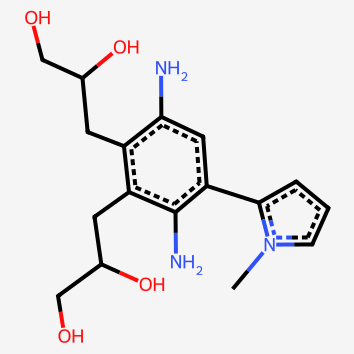 Cn1cccc1-c1cc(N)c(CC(O)CO)c(CC(O)CO)c1N